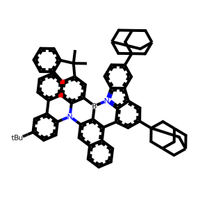 CC(C)(C)c1ccc(N2c3cc4c(cc3B3c5c2cc2ccccc2c5-c2cc(C56CC7CC(CC(C7)C5)C6)cc5c6cc(C78CC9CC(CC(C9)C7)C8)ccc6n3c25)C(C)(C)c2ccccc2-4)c(-c2ccccc2)c1